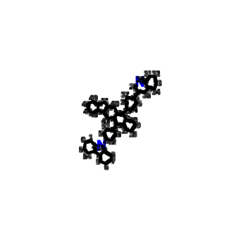 C1=Cc2c(c3ccccc3n2-c2ccc(-c3c4ccccc4c(-c4ccc(-c5cnc6ccccc6c5)cc4)c4cc5c(cc34)-c3ccccc3C5)cc2)CC1